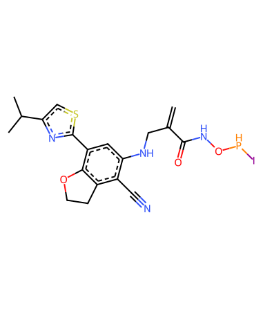 C=C(CNc1cc(-c2nc(C(C)C)cs2)c2c(c1C#N)CCO2)C(=O)NOPI